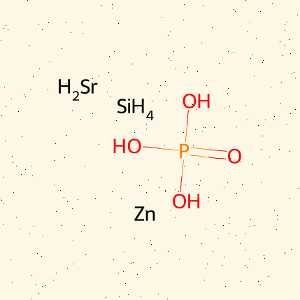 O=P(O)(O)O.[SiH4].[SrH2].[Zn]